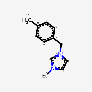 CCn1cc[n+](Cc2ccc(C)cc2)c1